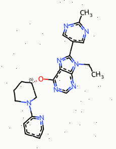 CCn1c(-c2cnc(C)nc2)nc2c(O[C@H]3CCCN(c4ccccn4)C3)ncnc21